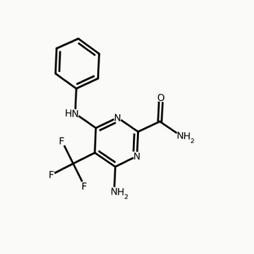 NC(=O)c1nc(N)c(C(F)(F)F)c(Nc2ccccc2)n1